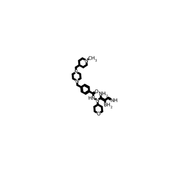 B/C(C=N)=C(/N)N(NC(=O)c1ccc(CN2CCN(CC3CCN(C)CC3)CC2)cc1)C1CCOCC1